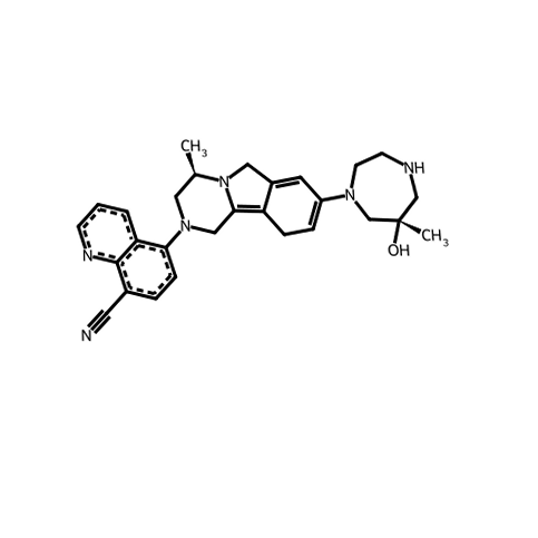 C[C@@H]1CN(c2ccc(C#N)c3ncccc23)CC2=C3CC=C(N4CCNC[C@](C)(O)C4)C=C3CN21